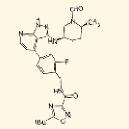 C[C@H]1CC[C@@H](Nc2n[nH]c3nccc(-c4ccc(CNC(=O)c5noc(C(C)(C)C)n5)c(F)c4)c23)CN1C=O